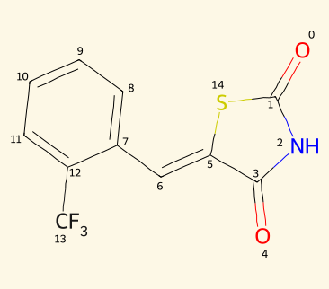 O=C1NC(=O)/C(=C/c2ccccc2C(F)(F)F)S1